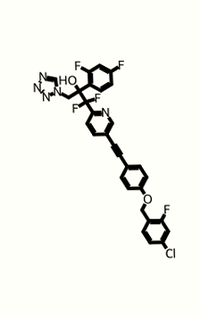 OC(Cn1cnnn1)(c1ccc(F)cc1F)C(F)(F)c1ccc(C#Cc2ccc(OCc3ccc(Cl)cc3F)cc2)cn1